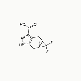 CC12Cc3[nH]nc(C(=O)O)c3CC1C2(F)F